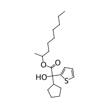 CCCCCCCC(C)OC(=O)C(O)(c1cccs1)C1CCCC1